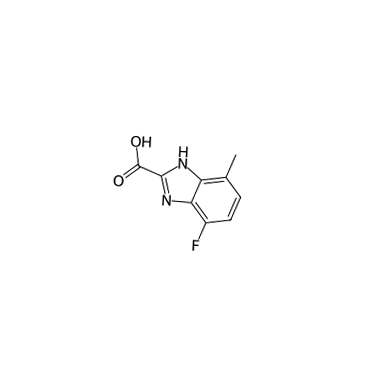 Cc1ccc(F)c2nc(C(=O)O)[nH]c12